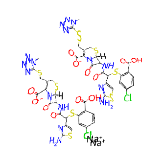 Cn1nnnc1SCC1=C(C(=O)[O-])N2C(=O)C(NC(=O)C(Sc3cc(Cl)ccc3C(=O)O)c3csc(N)n3)[C@H]2SC1.Cn1nnnc1SCC1=C(C(=O)[O-])N2C(=O)C(NC(=O)C(Sc3cc(Cl)ccc3C(=O)O)c3csc(N)n3)[C@H]2SC1.[Na+].[Na+]